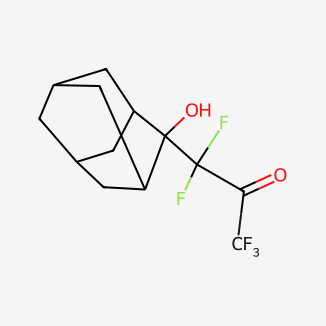 O=C(C(F)(F)F)C(F)(F)C1(O)C2CC3CC(C2)CC1C3